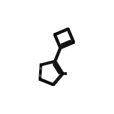 [C]1=C(C2=CCC2)CCC1